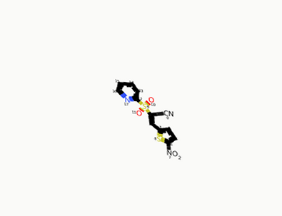 N#CC(=Cc1ccc([N+](=O)[O-])s1)S(=O)(=O)c1ccccn1